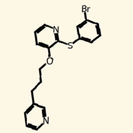 Brc1cccc(Sc2ncccc2OCCCc2cccnc2)c1